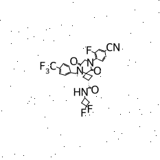 N#Cc1ccc(N2CC(=O)N(Cc3ccc(C(F)(F)F)cc3)[C@]3(C[C@@H](C(=O)NC4CC(F)(F)C4)C3)C2=O)c(F)c1